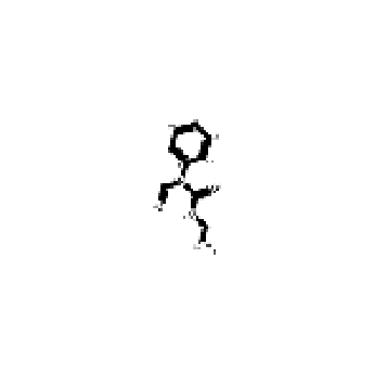 CCOC(=O)N([C]=O)c1ccccc1